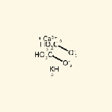 O=C([O-])O.O=C([O-])O.[Ca+2].[KH]